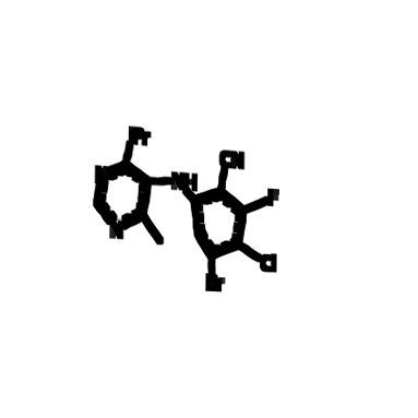 Cc1ncnc(C(C)C)c1Nc1cc(Br)c(Cl)c(F)c1C#N